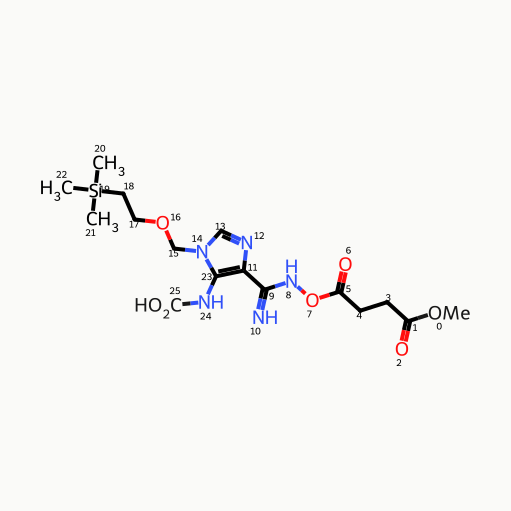 COC(=O)CCC(=O)ONC(=N)c1ncn(COCC[Si](C)(C)C)c1NC(=O)O